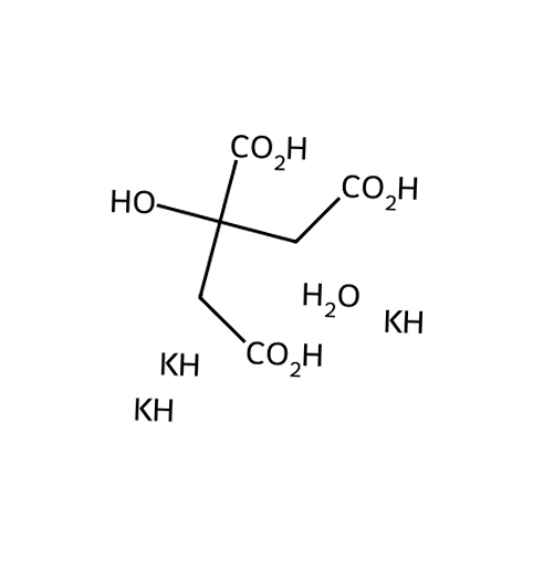 O.O=C(O)CC(O)(CC(=O)O)C(=O)O.[KH].[KH].[KH]